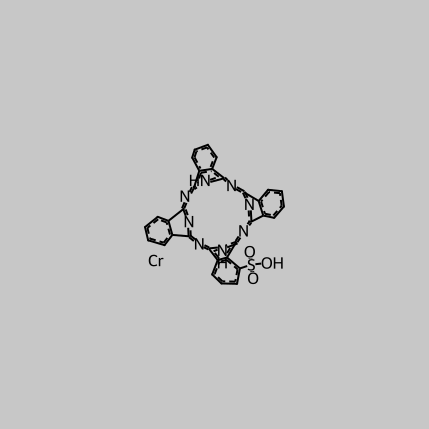 O=S(=O)(O)c1cccc2c3nc4nc(nc5[nH]c(nc6nc(nc([nH]3)c12)-c1ccccc1-6)c1ccccc51)-c1ccccc1-4.[Cr]